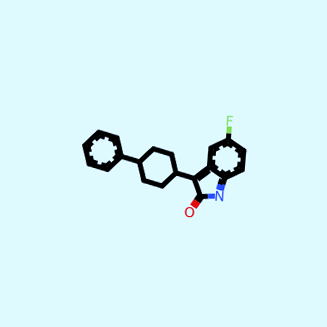 O=C1N=c2ccc(F)cc2=C1C1CCC(c2ccccc2)CC1